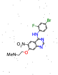 CNCCOc1cc2ncnc(Nc3ccc(Br)cc3F)c2cc1[N+](=O)[O-]